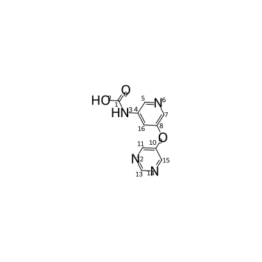 O=C(O)Nc1cncc(Oc2cncnc2)c1